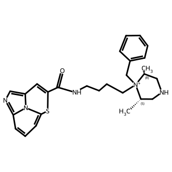 C[C@@H]1CNC[C@H](C)[N+]1(CCCCNC(=O)C1=Cc2cnc3cccc(n23)S1)Cc1ccccc1